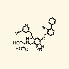 N#Cc1cncc(COc2cc(OCc3cccc(-c4ccccc4)c3Br)c3nonc3c2CNC(CO)C(=O)O)c1